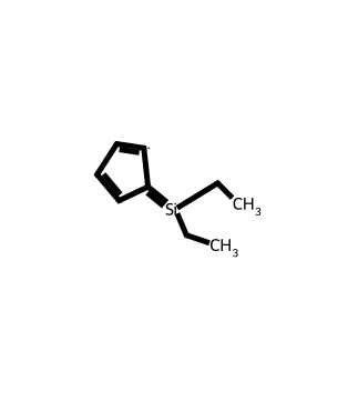 CC[Si](CC)=C1[C]=CC=C1